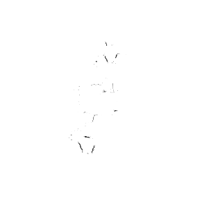 Nc1nc2c(nnn2[C@@H]2O[C@@H]3COP(=O)(O)O[C@H]4[C@H](F)[C@H](n5nnc6c(N)ccnc65)O[C@@H]4COP(O)(=S)O[C@@H]2[C@H]3F)c(=O)[nH]1